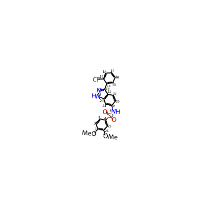 COc1ccc(S(=O)(=O)Nc2ccc3c(-c4ccccc4Cl)n[nH]c3c2)cc1OC